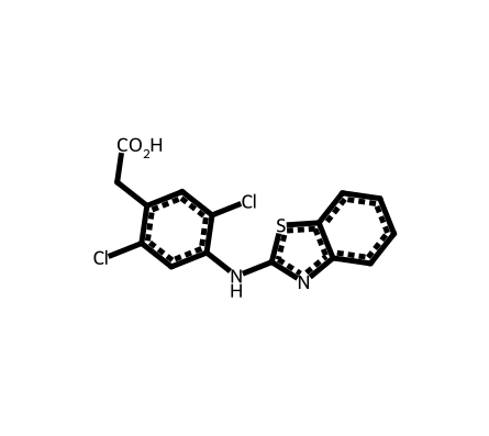 O=C(O)Cc1cc(Cl)c(Nc2nc3ccccc3s2)cc1Cl